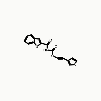 O=C(NC(=O)c1cc2ccccc2s1)OC#Cc1ccsc1